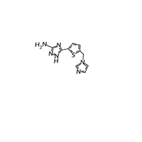 Nc1n[nH]c(-c2ccc(Cn3ccnc3)s2)n1